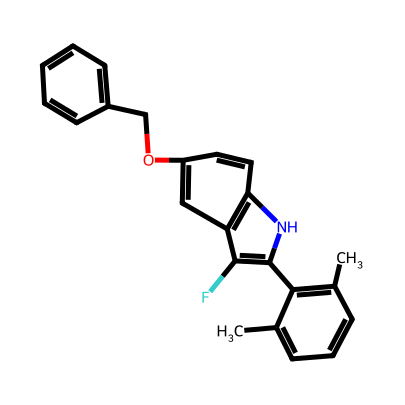 Cc1cccc(C)c1-c1[nH]c2ccc(OCc3ccccc3)cc2c1F